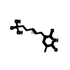 Cc1cn(C/C=C/CCP(=O)(O)O)c(=O)[nH]c1=O